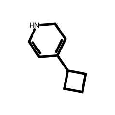 [CH]1C=C(C2CCC2)C=CN1